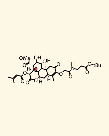 COC(=O)[C@@]12OC[C@]34C([C@@H](O)[C@@H]1O)[C@@]1(C)CC(=O)C(OCC(=O)NCCC(=O)OC(C)(C)C)=C(C)[C@@H]1C[C@H]3OC(=O)[C@H](OC(=O)C=C(C)C)[C@@H]24